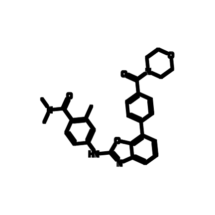 Cc1cc(Nc2nc3cccc(-c4ccc(C(=O)N5CCOCC5)cc4)c3o2)ccc1C(=O)N(C)C